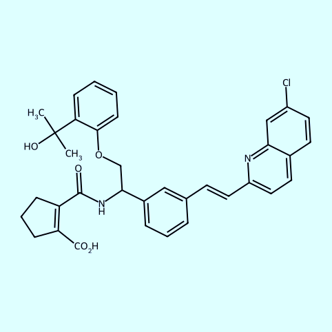 CC(C)(O)c1ccccc1OCC(NC(=O)C1=C(C(=O)O)CCC1)c1cccc(C=Cc2ccc3ccc(Cl)cc3n2)c1